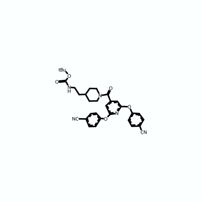 CC(C)(C)OC(=O)NCCC1CCN(C(=O)c2cc(Oc3ccc(C#N)cc3)nc(Oc3ccc(C#N)cc3)c2)CC1